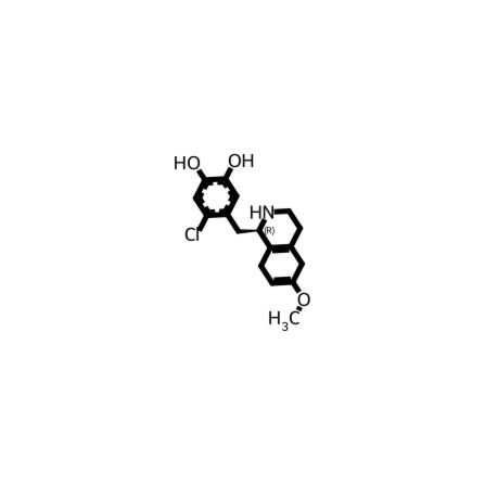 COC1=CCC2=C(CCN[C@@H]2Cc2cc(O)c(O)cc2Cl)C1